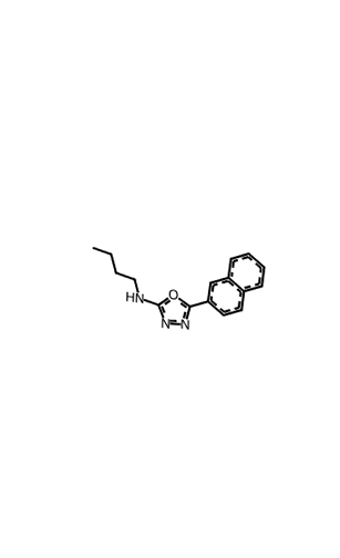 CCCCNc1nnc(-c2ccc3ccccc3c2)o1